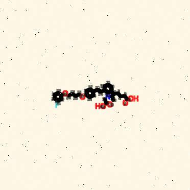 Cc1c(CCCC(=O)O)c2cccc(/C=C/c3ccc(OCCCCOc4cccc(F)c4)cc3)c2n1CC(=O)O